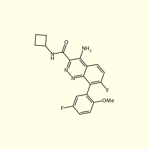 COc1ccc(F)cc1-c1c(F)ccc2c(N)c(C(=O)NC3CCC3)nnc12